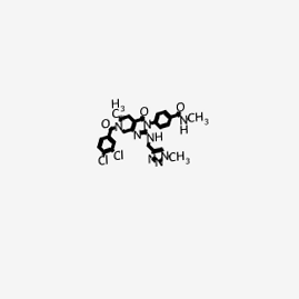 CNC(=O)c1ccc(-n2c(NCc3cn(C)nn3)nc3c(c2=O)C[C@@H](C)N(C(=O)c2ccc(Cl)c(Cl)c2)C3)cc1